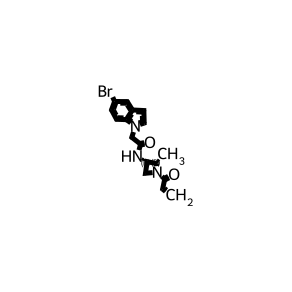 C=CC(=O)N1C[C@@H](NC(=O)Cn2ccc3cc(Br)ccc32)[C@H]1C